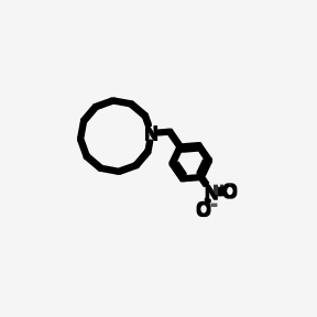 O=[N+]([O-])c1ccc(CN2CCCCCCCCCCC2)cc1